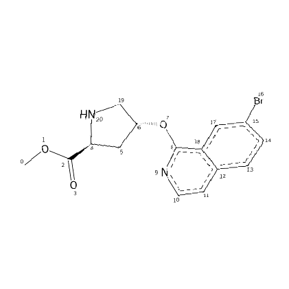 COC(=O)[C@@H]1C[C@@H](Oc2nccc3ccc(Br)cc23)CN1